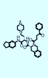 CN1CCN(CC[C@H](NC(=O)[C@@H]2Cc3ccccc3CN2C(=O)CCC(=O)c2ccccc2)C(=O)Nc2ccc3c(c2)CCC3)CC1